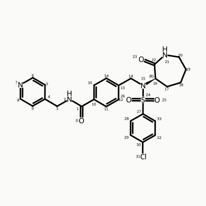 O=C(NCc1ccncc1)c1ccc(CN([C@@H]2CCCCNC2=O)S(=O)(=O)c2ccc(Cl)cc2)cc1